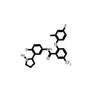 [2H]N1CCCC1c1cc(NC(=O)c2cc(C(F)(F)F)ccc2Oc2ccc(F)cc2C)ccc1F